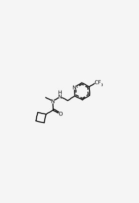 CN(NCc1ccc(C(F)(F)F)cn1)C(=O)C1CCC1